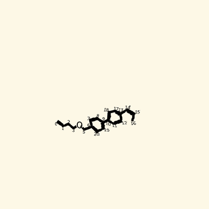 C=CCCOCc1ccc(-c2ccc(/C=C\C)cc2)cc1